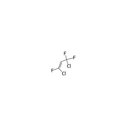 FC(Cl)=CC(F)(F)Cl